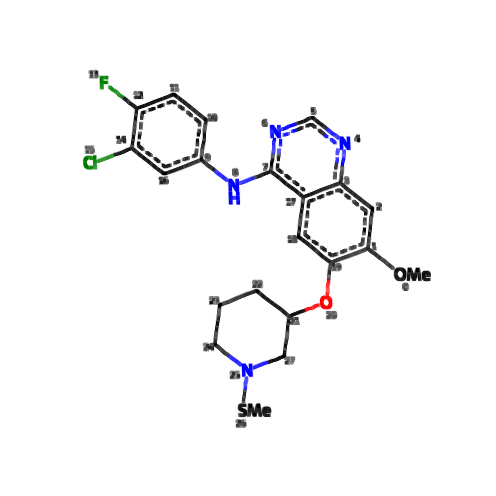 COc1cc2ncnc(Nc3ccc(F)c(Cl)c3)c2cc1OC1CCCN(SC)C1